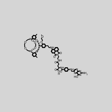 COCCOc1cc(CCNc2ccc3c4c(cccc24)C(=O)N(CCNC(=O)CCC(NC(=O)c2ccc(NCc4cnc5nc(N)nc(O)c5n4)cc2)C(=O)O)C3=O)ccc1N1CCOc2cc(C)ccc2N2CCOCCOCCN(CCOCCOCC2)c2ccc(C)cc2OCC1